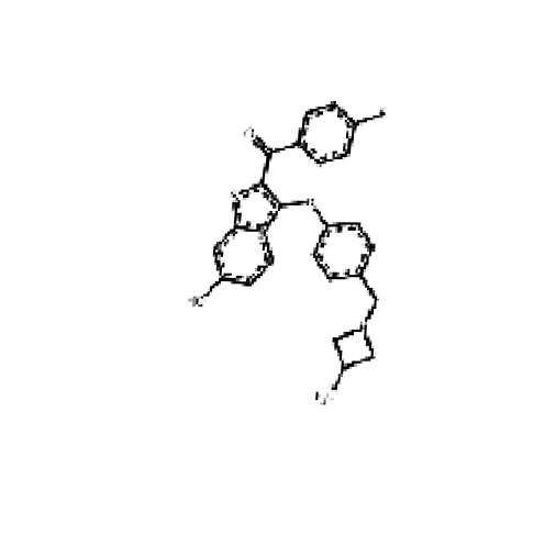 O=C(c1ccc(F)cc1)c1sc2cc(O)ccc2c1Oc1ccc(CN2CC(C(F)(F)F)C2)cc1